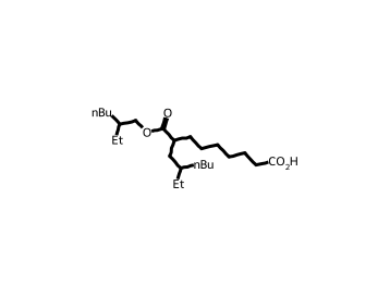 CCCCC(CC)COC(=O)C(CCCCCCC(=O)O)CC(CC)CCCC